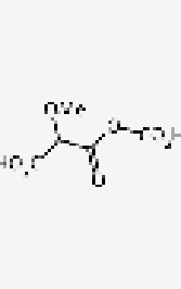 COC(C(=O)O)C(=O)OC(=O)O